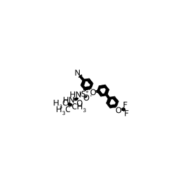 CC(C)(C)NC(=O)N[S+]([O-])c1cc(C#N)ccc1Oc1cccc(-c2ccc(OC(F)F)cc2)c1